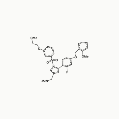 CNCc1cc(-c2ccc(OCc3ccccc3OC)cc2F)n(S(=O)(=O)c2cccc(OCCOC)c2)c1